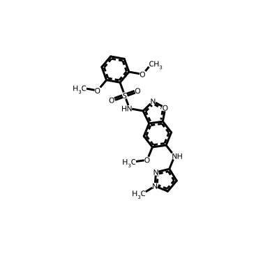 COc1cc2c(NS(=O)(=O)c3c(OC)cccc3OC)noc2cc1Nc1ccn(C)n1